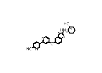 N#Cc1ccc(-c2cc(Oc3ccc4nc(N[C@@H]5CCCC[C@H]5O)sc4c3)ccn2)cn1